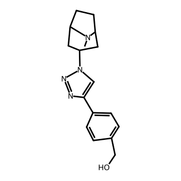 CN1C2CCC1CC(n1cc(-c3ccc(CO)cc3)nn1)C2